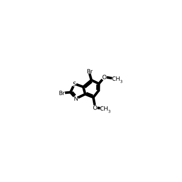 COc1cc(OC)c2nc(Br)sc2c1Br